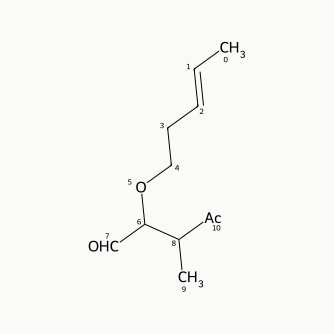 CC=CCCOC(C=O)C(C)C(C)=O